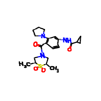 CC1CN(C(=O)c2ccc(NC(=O)C3CC3)cc2N2CCCC2)CC(C)S1(=O)=O